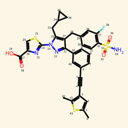 Cc1cc(C#Cc2cccc(-c3nn(-c4nc(C(=O)O)cs4)c(CC4CC4)c3Cc3ccc(S(N)(=O)=O)c(F)c3)c2)c(C)s1